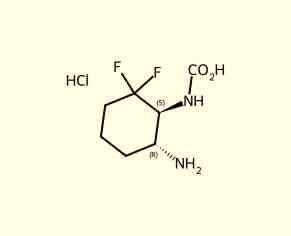 Cl.N[C@@H]1CCCC(F)(F)[C@H]1NC(=O)O